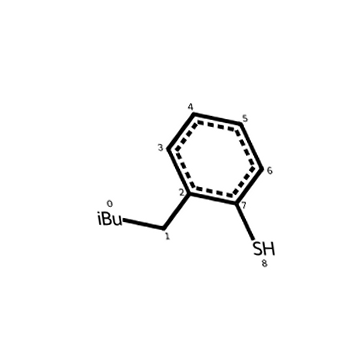 CCC(C)Cc1ccccc1S